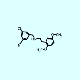 COc1ccc(OC)c(CCNCc2cc(Cl)cc(C#N)c2)c1